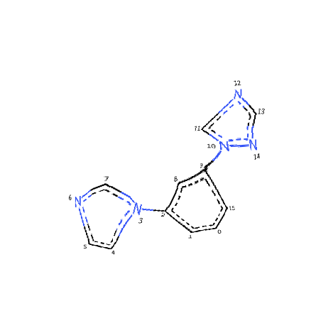 c1cc(-n2ccnc2)cc(-n2cncn2)c1